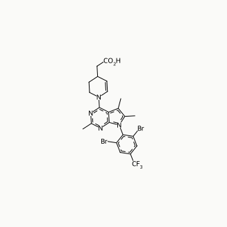 Cc1nc(N2C=CC(CC(=O)O)CC2)c2c(C)c(C)n(-c3c(Br)cc(C(F)(F)F)cc3Br)c2n1